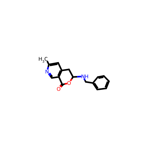 Cc1cc2c(cn1)C(=O)OC(NCc1ccccc1)C2